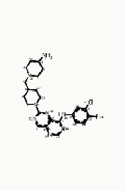 NC1CCN(CC2CCN(c3ncc4ncnc(Nc5ccc(F)c(Cl)c5)c4n3)CC2)CC1